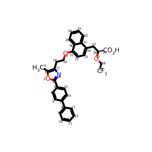 Cc1oc(-c2ccc(-c3ccccc3)cc2)nc1CCOc1ccc(C[C@H](OCC(F)(F)F)C(=O)O)c2ccccc12